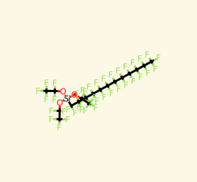 FC(F)(F)C(F)(F)O[Si](OC(F)(F)C(F)(F)F)(OC(F)(F)C(F)(F)F)C(F)(F)C(F)(F)C(F)(F)C(F)(F)C(F)(F)C(F)(F)C(F)(F)C(F)(F)C(F)(F)C(F)(F)C(F)(F)C(F)(F)F